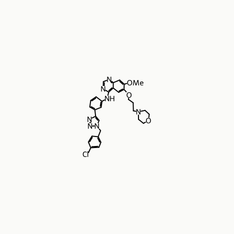 COc1cc2ncnc(Nc3cccc(-c4cn(Cc5ccc(Cl)cc5)nn4)c3)c2cc1OCCCN1CCOCC1